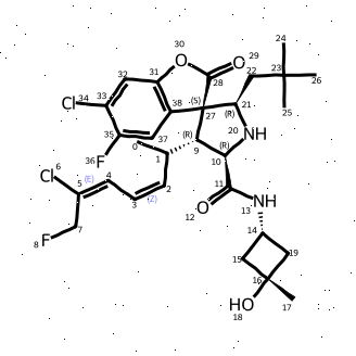 CC(/C=C\C=C(\Cl)CF)[C@H]1[C@H](C(=O)N[C@H]2C[C@@](C)(O)C2)N[C@H](CC(C)(C)C)[C@]12C(=O)Oc1cc(Cl)c(F)cc12